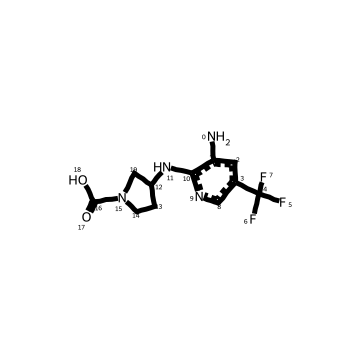 Nc1cc(C(F)(F)F)cnc1NC1CCN(C(=O)O)C1